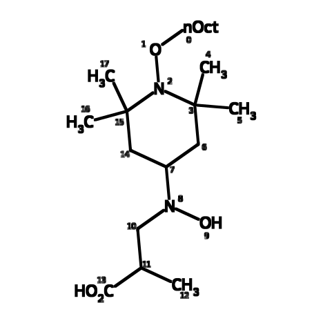 CCCCCCCCON1C(C)(C)CC(N(O)CC(C)C(=O)O)CC1(C)C